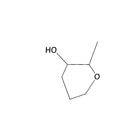 CC1OCCCC1O